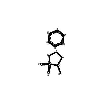 CC1CCCS1(=O)=O.c1ccccc1